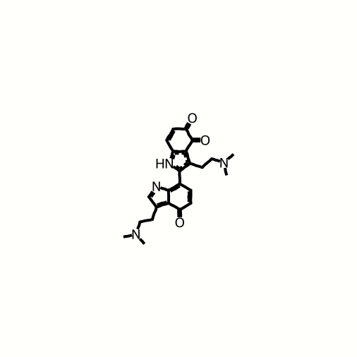 CN(C)CCC1=C2C(=O)C=CC(c3[nH]c4c(c3CCN(C)C)C(=O)C(=O)C=C4)=C2N=C1